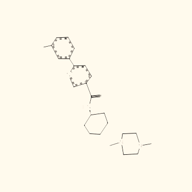 CN1CCN(C[C@H]2CC[C@H](NC(=O)c3ccc(-c4cccc(F)c4)nc3)CC2)CC1